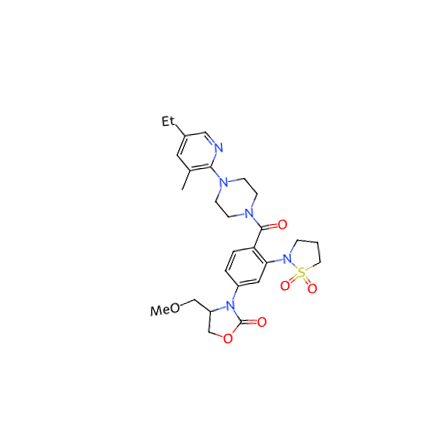 CCc1cnc(N2CCN(C(=O)c3ccc(N4C(=O)OCC4COC)cc3N3CCCS3(=O)=O)CC2)c(C)c1